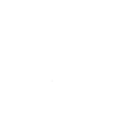 CCCCCC=C1CCCC1=O